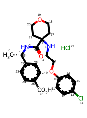 C[C@H](NC(=O)C1(NCCOc2ccc(Cl)cc2)CCOCC1)c1ccc(C(=O)O)cc1.Cl